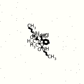 CCCCNC(=O)OC(C)N(C(C)OC(=O)NCCCC)C(CN)c1ccccc1.Cl.Cl